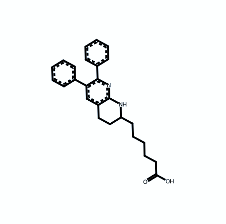 O=C(O)CCCCCC1CCc2cc(-c3ccccc3)c(-c3ccccc3)nc2N1